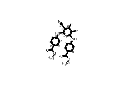 Cc1c(Nc2ccc(C(=O)ON)cc2)nc(Nc2ccc(C(=O)ON)cc2)c(C#N)c1C